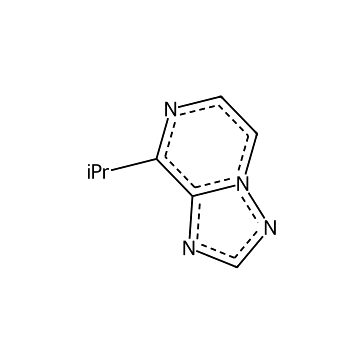 CC(C)c1nccn2ncnc12